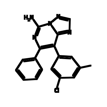 Cc1cc(Cl)cc(-c2c(-c3ccccc3)nc(N)n3ncnc23)c1